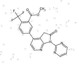 COC(=O)c1cc(-c2ccnc3c2CC(=O)N3c2ncccn2)ccc1C(F)(F)F